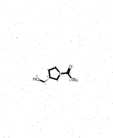 CC(C)(C)C(=O)N1CC[C@@H](CO)C1